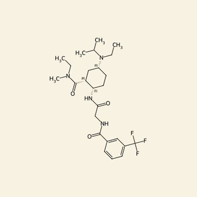 CCN(C)C(=O)[C@@H]1C[C@H](N(CC)C(C)C)CC[C@@H]1NC(=O)CNC(=O)c1cccc(C(F)(F)F)c1